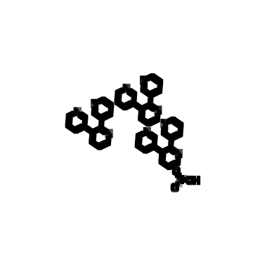 O=[N+]([O-])O.c1cncc(-c2cccnc2-c2cccnc2)c1.c1cncc(-c2cccnc2-c2cccnc2)c1.c1cncc(-c2cccnc2-c2cccnc2)c1